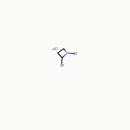 CCC1CCN1CC.Cl